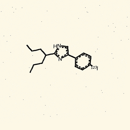 CCCC(CCC)c1nc(-c2ccc([123I])cc2)c[nH]1